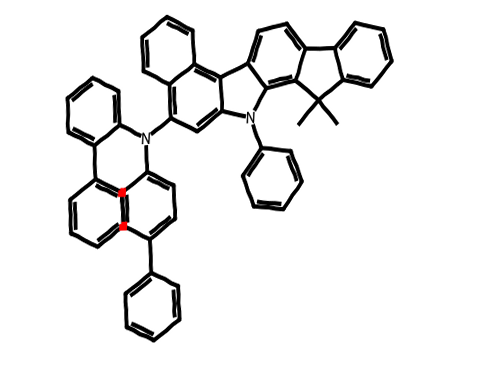 CC1(C)c2ccccc2-c2ccc3c4c5ccccc5c(N(c5ccc(-c6ccccc6)cc5)c5ccccc5-c5ccccc5)cc4n(-c4ccccc4)c3c21